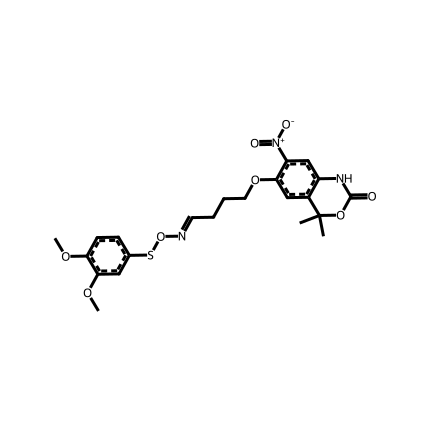 COc1ccc(SON=CCCCOc2cc3c(cc2[N+](=O)[O-])NC(=O)OC3(C)C)cc1OC